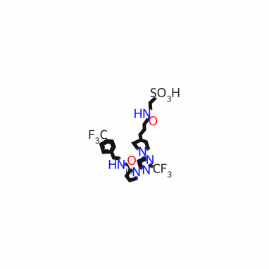 O=C(CCCC1CCN(c2cc(N3CCC[C@H]3C(=O)NCCc3ccc(C(F)(F)F)cc3)nc(C(F)(F)F)n2)CC1)NCCCS(=O)(=O)O